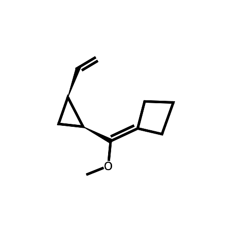 C=C[C@@H]1C[C@@H]1C(OC)=C1CCC1